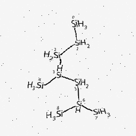 [SiH3][SiH2][SiH2][SiH]([SiH3])[SiH2][SiH]([SiH3])[SiH3]